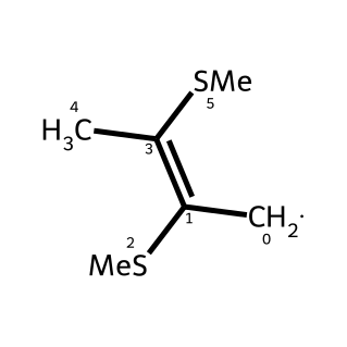 [CH2]C(SC)=C(C)SC